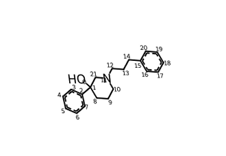 OC1(c2ccccc2)CCCN(CCCc2ccccc2)C1